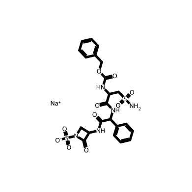 NS(=O)(=O)CC(NC(=O)OCc1ccccc1)C(=O)NC(C(=O)NC1CN(S(=O)(=O)[O-])C1=O)c1ccccc1.[Na+]